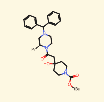 CC(C)[C@H]1CN(C(c2ccccc2)c2ccccc2)CCN1C(=O)CC1(O)CCN(C(=O)OC(C)(C)C)CC1